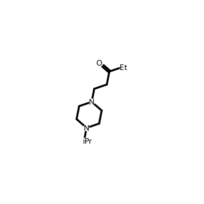 CCC(=O)CCN1CCN(C(C)C)CC1